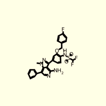 C[C@H](Oc1cc(-c2nn(C)c3c(-c4ccccc4)cnc(N)c23)ccc1NS(=O)(=O)C(F)F)c1ccc(F)cc1